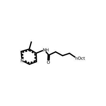 CCCCCCCCCCCC(=O)Nc1ccncc1C